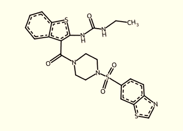 CCNC(=O)Nc1sc2ccccc2c1C(=O)N1CCN(S(=O)(=O)c2ccc3ncsc3c2)CC1